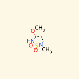 COC1CCN(C)S(=O)(=O)N1